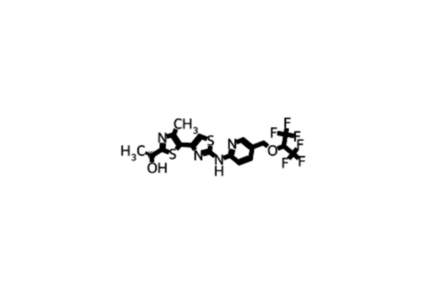 Cc1nc([C@H](C)O)sc1-c1csc(Nc2ccc(COC(C(F)(F)F)C(F)(F)F)cn2)n1